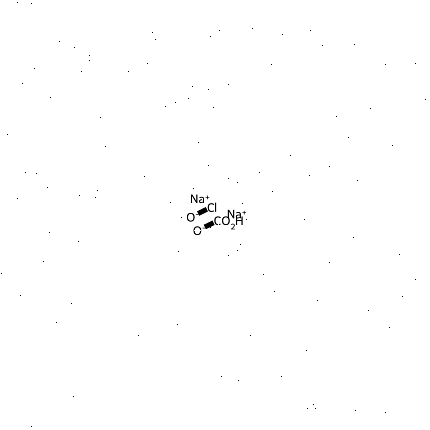 O=C([O-])O.[Na+].[Na+].[O-]Cl